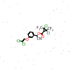 N#CC(OC(=O)C1C(Cl)(C(F)(F)F)C1(Cl)C(F)(F)F)c1cccc(OC=C(Cl)Cl)c1